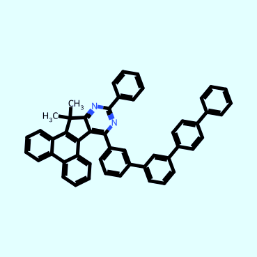 CC1(C)c2nc(-c3ccccc3)nc(-c3cccc(-c4cccc(-c5ccc(-c6ccccc6)cc5)c4)c3)c2-c2c1c1ccccc1c1ccccc21